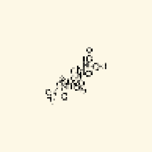 CCC(C)(C)C(=O)SCCOP(=O)(NCc1ccccc1)OCC1O[C@@H](n2ccc(NC(c3ccccc3)(c3ccc(OC)cc3)c3ccc(OC)cc3)nc2=O)[C@]2(C)OC(=O)O[C@H]12